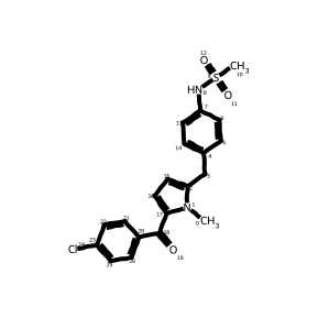 Cn1c(Cc2ccc(NS(C)(=O)=O)cc2)ccc1C(=O)c1ccc(Cl)cc1